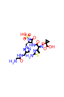 NCC(=O)NCc1cnn(C[C@@H]2[C@H](NC(=O)/C(=N\OC3(C(=O)O)CC3)c3csc(N)n3)C(=O)N2S(=O)(=O)O)n1